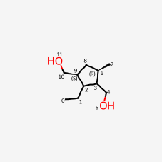 CCC1C(CO)[C@H](C)C[C@@H]1CO